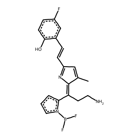 CC1=CC(/C=C/c2cc(F)ccc2O)=NC/1=C(/CCN)c1cccn1B(F)F